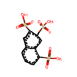 O=S(=O)(O)c1cc2cccc(S(=O)(=O)O)c2cc1S(=O)(=O)O